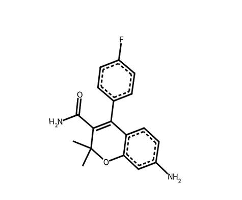 CC1(C)Oc2cc(N)ccc2C(c2ccc(F)cc2)=C1C(N)=O